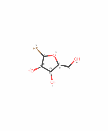 OC[C@@H]1OC(S)[C@H](O)[C@@H]1O